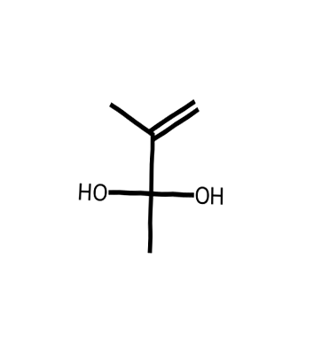 C=C(C)C(C)(O)O